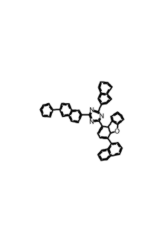 C1=C(c2cccc3ccccc23)C2Oc3ccccc3C2C(c2nc(-c3ccc4ccccc4c3)nc(-c3ccc4cc(-c5ccccc5)ccc4c3)n2)=C1